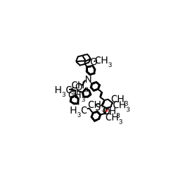 COc1ccc(N(CCO[Si](c2ccccc2)(c2ccccc2)C(C)(C)C)c2ccc(/C=C/C3=C(Sc4c(C(C)C)cccc4C(C)C)C(=O)CC(C)(C)C3)cc2)cc1C12CC3CC(CC(C3)C1)C2